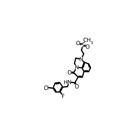 CS(=O)(=O)CCN1CCn2c(=O)c(C(=O)NCc3ccc(Cl)cc3F)cc3cccc1c32